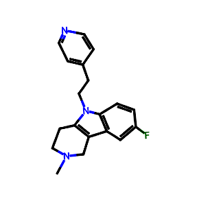 CN1CCc2c(c3cc(F)ccc3n2CCc2ccncc2)C1